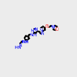 N=N/C=C\Nc1ccc(CNc2cc(-c3cnc4cc(OCCN5CCOCC5)ccn34)ncn2)cc1